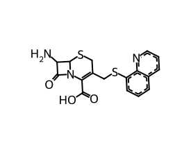 NC1C(=O)N2C(C(=O)O)=C(CSc3cccc4cccnc34)CSC12